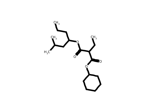 CCCC(CC(C)C)OC(=O)C(CC)C(=O)OC1CCCCC1